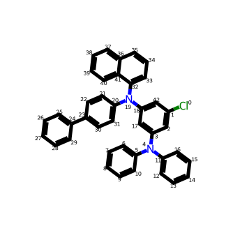 Clc1cc(N(c2ccccc2)c2ccccc2)cc(N(c2ccc(-c3ccccc3)cc2)c2cccc3ccccc23)c1